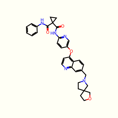 O=C(Nc1ccccc1)C1(C(=O)Nc2ccc(Oc3ccnc4cc(CN5CCC6(CCOC6)C5)ccc34)cn2)CC1